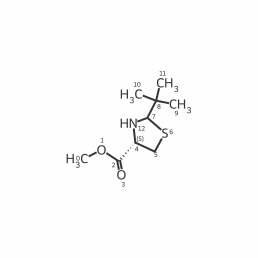 COC(=O)[C@H]1CSC(C(C)(C)C)N1